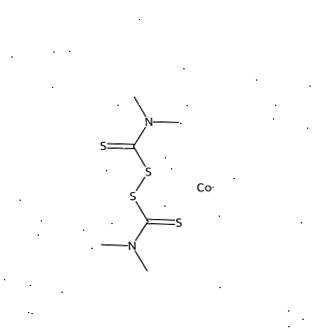 CN(C)C(=S)SSC(=S)N(C)C.[Co]